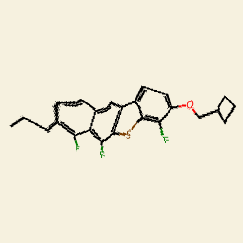 CCCc1ccc2cc3c(sc4c(F)c(OCC5CCC5)ccc43)c(F)c2c1F